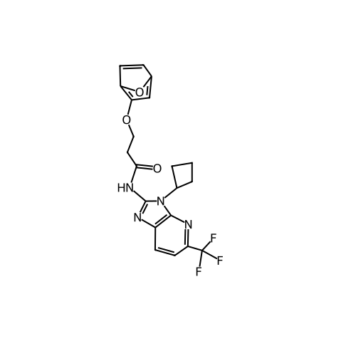 O=C(CCOc1cc2ccc1o2)Nc1nc2ccc(C(F)(F)F)nc2n1C1CCC1